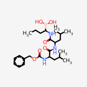 CCCC(NC(=O)C(CC(C)C)NC(=O)C(CC(C)C)NC(=O)OCc1ccccc1)B(O)O